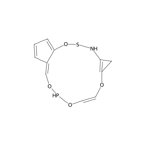 C1=CC2=COPOC=COC3=C(C3)NSOC2=C1